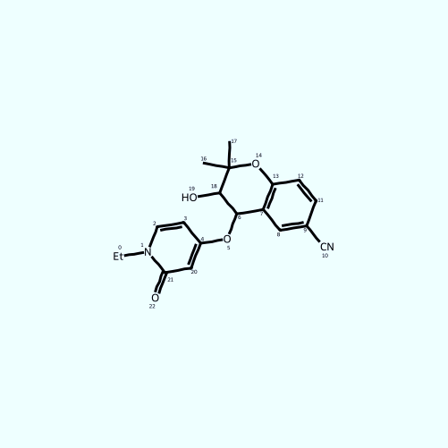 CCn1ccc(OC2c3cc(C#N)ccc3OC(C)(C)C2O)cc1=O